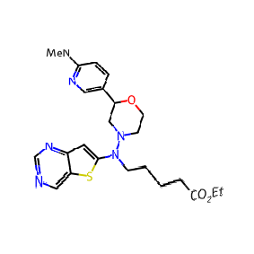 CCOC(=O)CCCCN(c1cc2ncncc2s1)N1CCOC(c2ccc(NC)nc2)C1